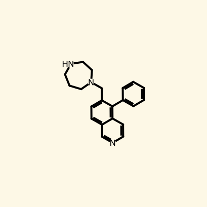 c1ccc(-c2c(CN3CCCNCC3)ccc3cnccc23)cc1